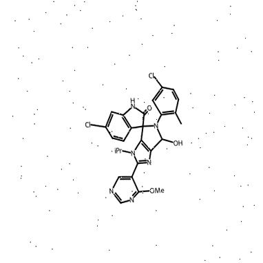 COc1ncncc1-c1nc2c(n1C(C)C)C1(C(=O)Nc3cc(Cl)ccc31)N(c1cc(Cl)ccc1C)C2O